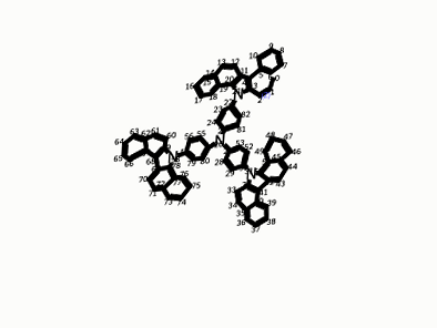 C/C=C\c1c(-c2ccccc2)c2ccc3ccccc3c2n1-c1ccc(N(c2ccc(-n3c4ccc5ccccc5c4c4ccc5ccccc5c43)cc2)c2ccc(-n3c4ccc5ccccc5c4c4ccc5ccccc5c43)cc2)cc1